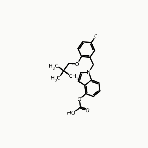 CC(C)(C)COc1ccc(Cl)cc1Cn1ccc2c(OC(=O)O)cccc21